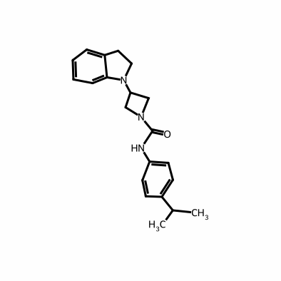 CC(C)c1ccc(NC(=O)N2CC(N3CCc4ccccc43)C2)cc1